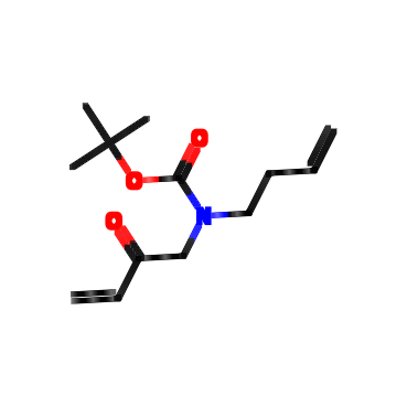 C=CCCN(CC(=O)C=C)C(=O)OC(C)(C)C